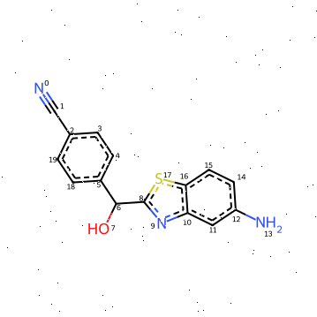 N#Cc1ccc(C(O)c2nc3cc(N)ccc3s2)cc1